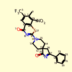 Cc1c(C(F)(F)F)cc2c(=O)nc(N3CCC4(CC3)CC(c3ccccc3)=NC4=O)sc2c1[N+](=O)[O-]